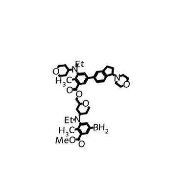 Bc1cc(C(=O)OC)c(C)c(N(CC)C2CCOC(COC(=O)c3cc(-c4ccc5c(c4)CCC5N4CCOCC4)cc(N(CC)C4CCOCC4)c3C)C2)c1